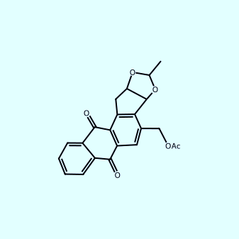 CC(=O)OCc1cc2c(c3c1C1OC(C)OC1C3)C(=O)c1ccccc1C2=O